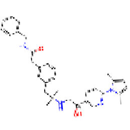 Cc1ccc(C)n1-c1ccc([C@@H](O)CNC(C)(C)Cc2cccc(CC(=O)NCc3ccccc3)c2)cn1